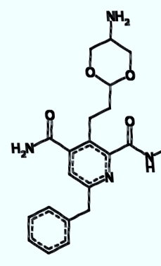 CNC(=O)c1nc(Cc2ccccc2)cc(C(N)=O)c1CCC1OCC(N)CO1